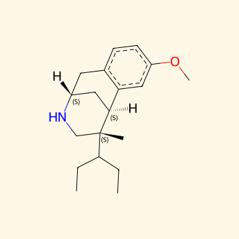 CCC(CC)[C@]1(C)CN[C@@H]2Cc3ccc(OC)cc3[C@@H]1C2